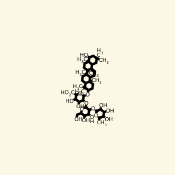 CC1OC(OC2C(OC3C(OC4CCC5(C)C(CCC6(C)C5CC=C5C7CC(C)(C)CC(O)C7(C)CCC56C)C4(C)C)OC(C(=O)O)C(O)C3O)OC(CO)C(O)C2O)C(O)C(O)C1O